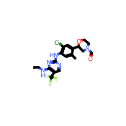 CCNc1nc(Nc2cc(C)c(C3CN(C=O)CCO3)cc2Cl)ncc1C(F)(F)F